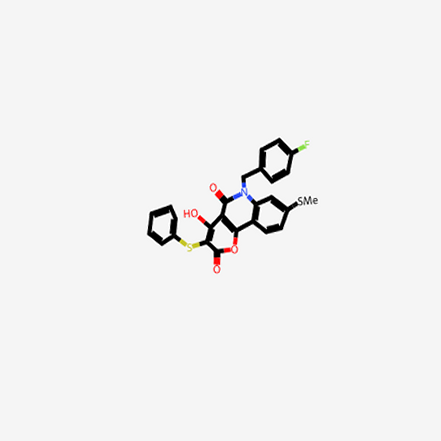 CSc1ccc2c3oc(=O)c(Sc4ccccc4)c(O)c3c(=O)n(Cc3ccc(F)cc3)c2c1